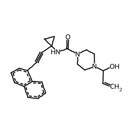 C=CC(O)N1CCN(C(=O)NC2(C#Cc3cccc4ccccc34)CC2)CC1